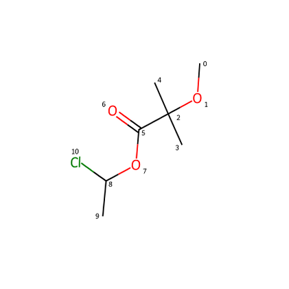 COC(C)(C)C(=O)OC(C)Cl